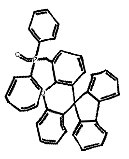 O=P(c1ccccc1)(c1ccccc1)c1cccc2c1Oc1ccccc1C21c2ccccc2-c2ccccc21